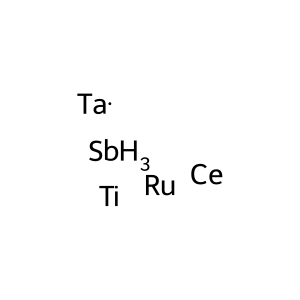 [Ce].[Ru].[SbH3].[Ta].[Ti]